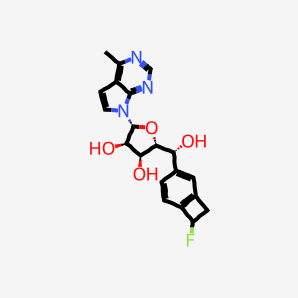 Cc1ncnc2c1ccn2[C@@H]1O[C@H]([C@H](O)c2ccc3c(c2)CC3F)[C@@H](O)[C@H]1O